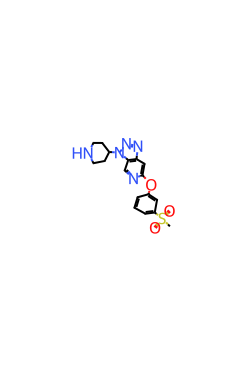 CS(=O)(=O)c1cccc(Oc2cc3nnn(C4CCNCC4)c3cn2)c1